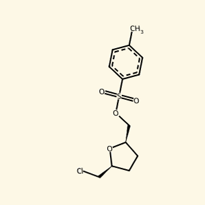 Cc1ccc(S(=O)(=O)OC[C@H]2CC[C@@H](CCl)O2)cc1